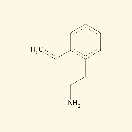 C=Cc1ccccc1CCN